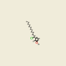 CCCCCCCCCCCCC(Cl)c1cccc(OC)c1C